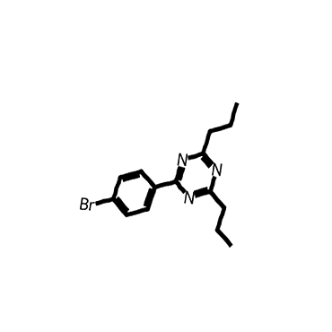 CCCc1nc(CCC)nc(-c2ccc(Br)cc2)n1